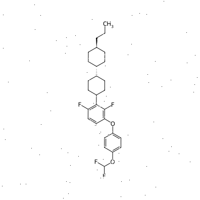 CCC[C@H]1CC[C@H](C2CCC(c3c(F)c[c]c(Oc4ccc(OC(F)F)cc4)c3F)CC2)CC1